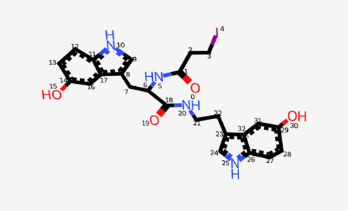 O=C(CCI)NC(Cc1c[nH]c2ccc(O)cc12)C(=O)NCCc1c[nH]c2ccc(O)cc12